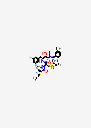 CCCC(CCC)S(=O)(=O)C[C@@H](NC(=O)c1sc(C)nc1C)C(=O)N[C@@H](Cc1cc(F)cc(F)c1)[C@H](O)CNCc1cccc(CC)c1